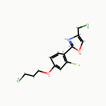 Fc1cc(OCCCCl)ccc1-c1nc(CCl)co1